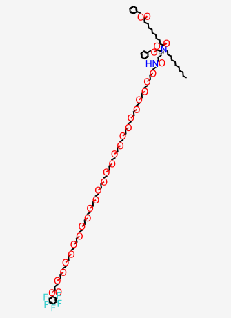 CCCCCCCCCCCN(C(=O)CCCCCCCCCC(=O)OCc1ccccc1)[C@@H](CCC(=O)NCCOCCOCCOCCOCCOCCOCCOCCOCCOCCOCCOCCOCCOCCOCCOCCOCCOCCOCCOCCOCCOCCOCCOCCOCCC(=O)Oc1c(F)c(F)c(F)c(F)c1F)C(=O)OCc1ccccc1